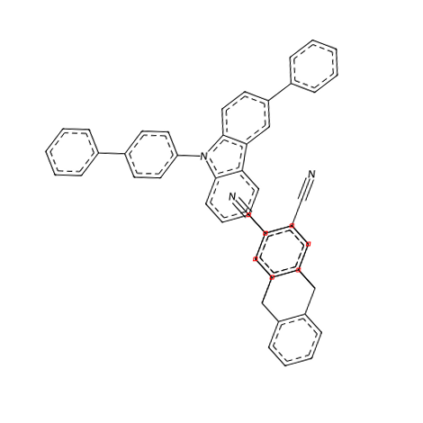 N#Cc1ccc2c(c1)C1c3ccccc3C2c2cc(C#N)c(-c3ccc4c(c3)c3cc(-c5ccccc5)ccc3n4-c3ccc(-c4ccccc4)cc3)cc21